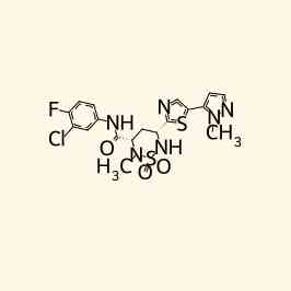 CN1[C@H](C(=O)Nc2ccc(F)c(Cl)c2)C[C@H](c2ncc(-c3ccnn3C)s2)NS1(=O)=O